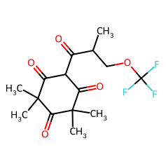 CC(COC(F)(F)F)C(=O)C1C(=O)C(C)(C)C(=O)C(C)(C)C1=O